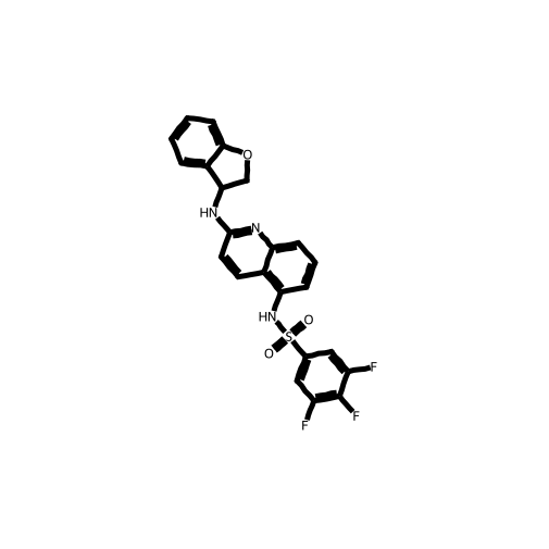 O=S(=O)(Nc1cccc2nc(NC3COc4ccccc43)ccc12)c1cc(F)c(F)c(F)c1